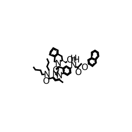 CCCCN(CCCC)C(=O)c1cc(C)n(-c2ccc(NC(=O)COc3ccc4ccccc4c3)cc2C(=O)N2Cc3ccccc3C[C@H]2CO)n1